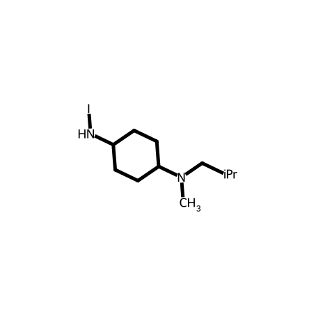 CC(C)CN(C)C1CCC(NI)CC1